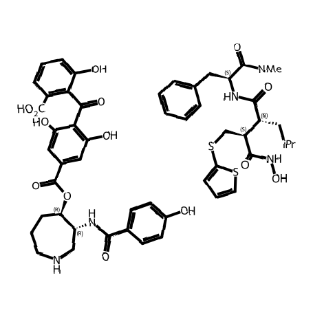 CNC(=O)[C@H](Cc1ccccc1)NC(=O)[C@H](CC(C)C)[C@H](CSc1cccs1)C(=O)NO.O=C(N[C@@H]1CNCCC[C@H]1OC(=O)c1cc(O)c(C(=O)c2c(O)cccc2C(=O)O)c(O)c1)c1ccc(O)cc1